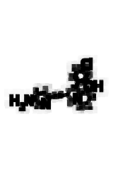 Nc1ccc(C#CCCN2CCCC(O)C2Cc2ccc(Cl)cc2)nc1